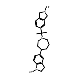 CC(C)N1Cc2ccc(C(C)(C)N3CCCC(c4ccc5c(c4)CCN5C(C)C)CC3)cc2C1